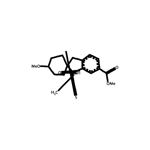 COC(=O)c1ccc2c(c1)C1(NC(=S)N(C)C1=O)C1(CCC(OC)CC1)C2